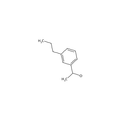 CCCc1cccc(C(C)[O])c1